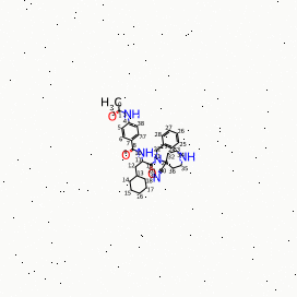 CC(=O)Nc1ccc(C(=O)NC(CC2CCCCC2)C(=O)N(Cc2ccccc2)C2(C#N)CCNCC2)cc1